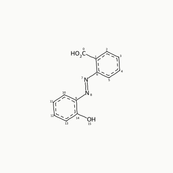 O=C(O)c1ccccc1N=Nc1ccccc1O